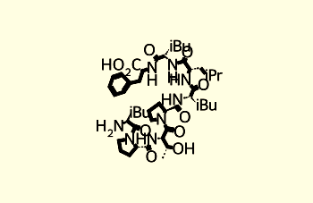 CC[C@H](C)[C@H](N)C(=O)N1CCC[C@H]1C(=O)N[C@H](C(=O)N1CCC[C@H]1C(=O)N[C@H](C(=O)N[C@@H](CC(C)C)C(=O)N[C@H](C(=O)N[C@@H](Cc1ccccc1)C(=O)O)[C@@H](C)CC)[C@@H](C)CC)[C@@H](C)O